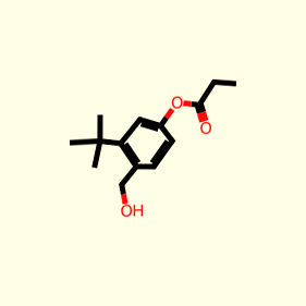 CCC(=O)Oc1ccc(CO)c(C(C)(C)C)c1